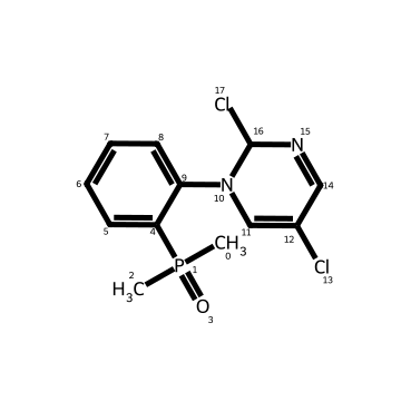 CP(C)(=O)c1ccccc1N1C=C(Cl)C=NC1Cl